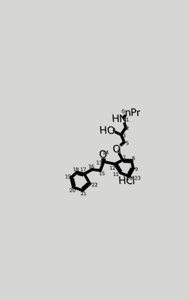 CCCNCC(O)COc1ccccc1C(=O)CCc1ccccc1.Cl